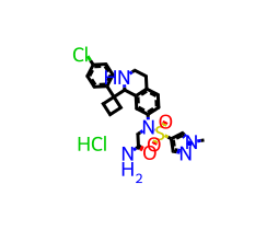 Cl.Cn1cc(S(=O)(=O)N(CC(N)=O)c2ccc3c(c2)C(C2(c4ccc(Cl)cc4)CCC2)NCC3)cn1